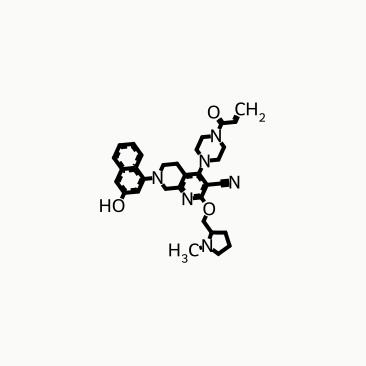 C=CC(=O)N1CCN(c2c(C#N)c(OCC3CCCN3C)nc3c2CCN(c2cc(O)cc4ccccc24)C3)CC1